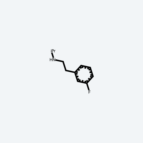 CC(C)NCCc1cccc(F)c1